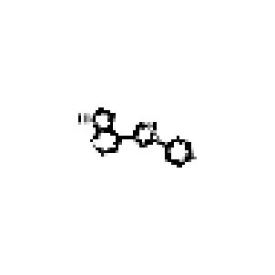 [c]1ccc(-n2cc(-c3ccnc4[nH]ccc34)cn2)cc1